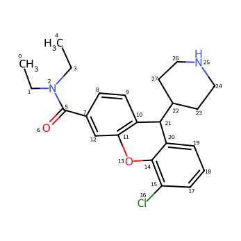 CCN(CC)C(=O)c1ccc2c(c1)Oc1c(Cl)cccc1C2C1CCNCC1